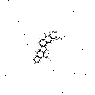 COc1cc2cnc3c(c2cc1OC)Cc1c-3cc2c(c1C)OCO2